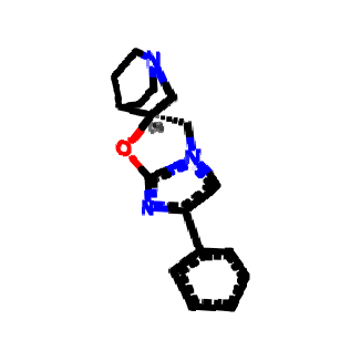 c1ccc(-c2cn3c(n2)O[C@@]2(CN4CCC2CC4)C3)cc1